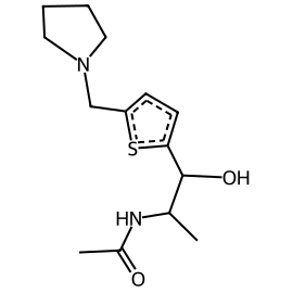 CC(=O)NC(C)C(O)c1ccc(CN2CCCC2)s1